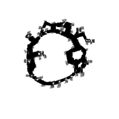 Cc1cc2ccc1C(=O)N1CCc3ccc(cc3C1)[C@@H](CC(=O)O)c1ccc3c(c1)nnn3CCCCCCO2